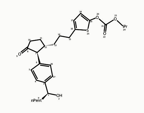 CCCCC[C@H](O)c1ccc([C@H]2C(=O)CC[C@@H]2CCCc2ccc(OC(=O)OC(C)C)s2)cc1